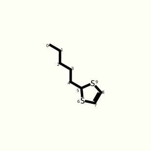 CCCCCC1SC=CS1